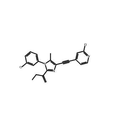 C=C(CC)c1nc(C#Cc2ccnc(Cl)c2)c(C)n1-c1cccc(Cl)c1